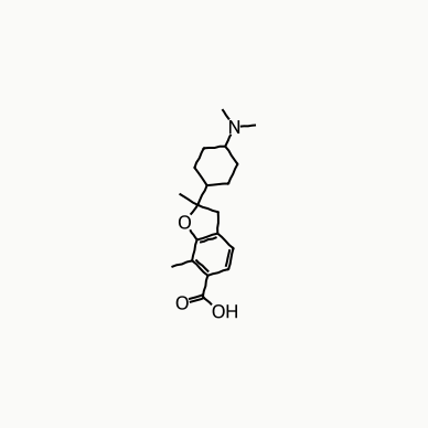 Cc1c(C(=O)O)ccc2c1OC(C)(C1CCC(N(C)C)CC1)C2